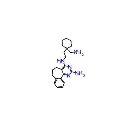 NCC1(CCNc2nc(N)nc3c2CCCc2ccccc2-3)CCCCC1